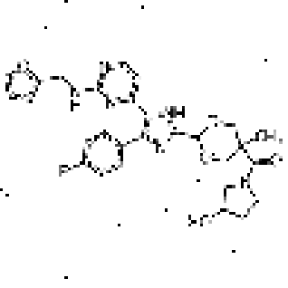 CC1(C(=O)N2CCC(O)C2)COC(c2nc(-c3ccc(F)cc3)c(-c3ccnc(NCc4ccco4)n3)[nH]2)OC1